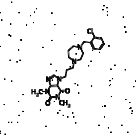 Cn1c(=O)c2c(ncn2CCCN2CCCN(Cc3ccccc3Cl)CC2)n(C)c1=O